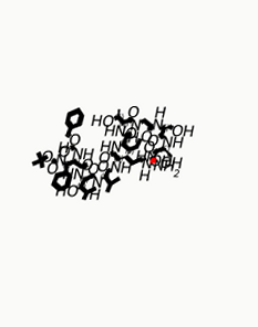 CC[C@H](C)[C@H](NC(=O)[C@@H](CCCNC(=N)N)NC(=O)[C@@H](NC(=O)[C@@H](NC(=O)[C@@H](NC(=O)OCc1ccccc1)[C@H](NC(=O)OC(C)(C)C)c1ccccc1)[C@H](O)C(C)C)C(C)C)C(=O)N[C@H](C(=O)NCC(=O)N[C@@H](CO)C(=O)N[C@@H](CO)C(=O)O)[C@H](C)O